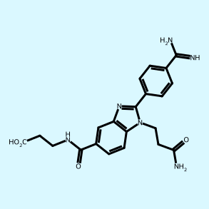 N=C(N)c1ccc(-c2nc3cc(C(=O)NCCC(=O)O)ccc3n2CCC(N)=O)cc1